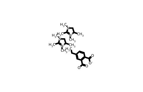 CC1=[N+](C)C(C)CN1C.CC1=[N+](C)C(C)CN1C.CCc1ccc(C(=O)[O-])c(C(=O)[O-])c1